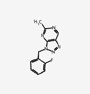 Cc1ncc2nnn(Cc3ccccc3F)c2n1